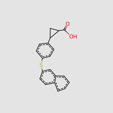 O=C(O)C1CC1c1ccc(Sc2ccc3ccccc3c2)cc1